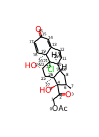 CC(=O)OCC(=O)[C@@]1(O)[C@H](C)C[C@H]2[C@@H]3C=CC4=CC(=O)C=C[C@]4(C)[C@@]3(Cl)[C@@H](O)C[C@@]21C